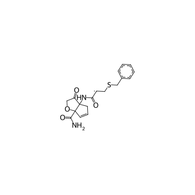 NC(=O)C12C=CCC1(NC(=O)[CH]CSCc1ccccc1)C(=O)CO2